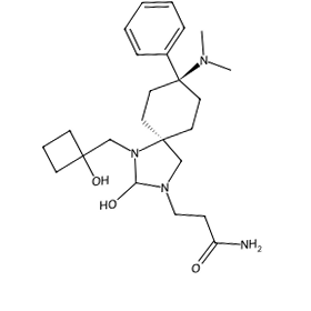 CN(C)[C@]1(c2ccccc2)CC[C@]2(CC1)CN(CCC(N)=O)C(O)N2CC1(O)CCC1